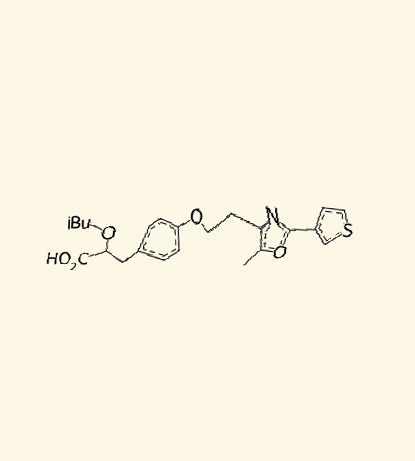 CCC(C)OC(Cc1ccc(OCCc2nc(-c3ccsc3)oc2C)cc1)C(=O)O